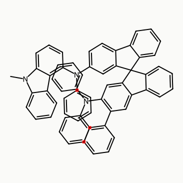 Cn1c2ccccc2c2c(N(c3ccccc3)c3ccc4c(c3)C3(c5ccccc5-4)c4ccccc4-c4cc(-c5ccccc5)c(N(c5ccccc5)c5ccccc5)cc43)cccc21